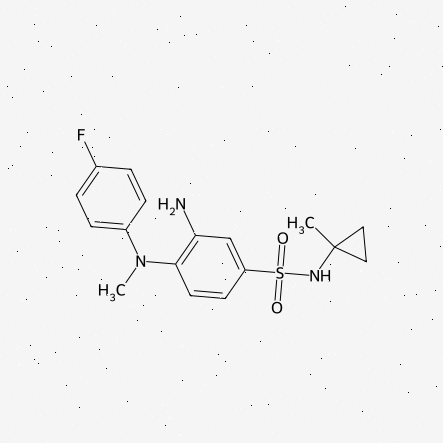 CN(c1ccc(F)cc1)c1ccc(S(=O)(=O)NC2(C)CC2)cc1N